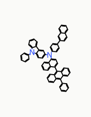 c1ccc(-c2c3ccccc3c(-c3ccc(N(c4ccc(-c5ccc6ccccc6c5)cc4)c4ccc5c(c4)c4ccccc4n5-c4ccccc4)c4ccccc34)c3ccccc23)cc1